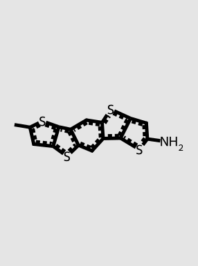 Cc1cc2sc3cc4c(cc3c2s1)sc1cc(N)sc14